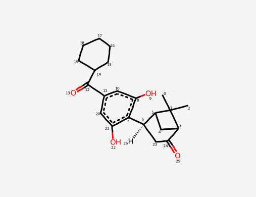 CC1(C)C2CC1[C@H](c1c(O)cc(C(=O)C3CCCCC3)cc1O)CC2=O